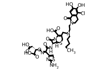 CCCCCN(CCN1CCc2c(cc(O)c(O)c2Cl)C1=O)CC1=C(C(=O)O)N2C(=O)[C@@H](NC(=O)/C(=N\O[C@@H](CC(=O)O)C(=O)O)c3csc(N)n3)[C@H]2SC1